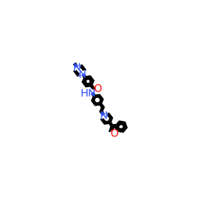 CN1CCN(c2ccc(C(=O)NC3CCC(CCN4CCC(c5coc6ccccc56)CC4)CC3)cc2)CC1